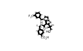 C[C@H](NC(=O)c1c(C(F)(F)CO)nn2c1N(Cc1cccc(C(F)(F)F)c1)CC2)c1ccc(C(=O)O)cc1